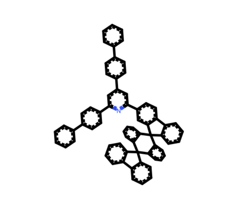 c1ccc(-c2ccc(-c3cc(-c4ccc(-c5ccccc5)cc4)nc(-c4ccc5c(c4)C4(c6ccccc6-5)c5ccccc5C5(c6ccccc6-c6ccccc65)c5ccccc54)c3)cc2)cc1